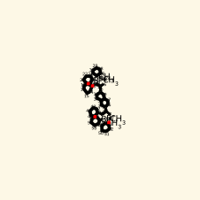 C[P+]1(C)CC(c2ccc3cc(C4=C(c5ccccc5)[B-](c5ccccc5)(c5ccccc5)[P+](C)(C)C4)ccc3c2)=C(c2ccccc2)[B-]1(c1ccccc1)c1ccccc1